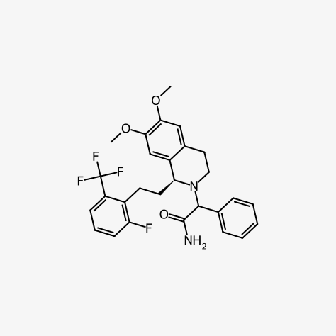 COc1cc2c(cc1OC)[C@H](CCc1c(F)cccc1C(F)(F)F)N(C(C(N)=O)c1ccccc1)CC2